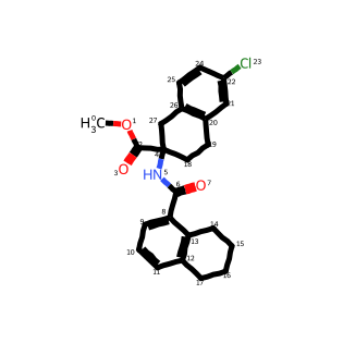 COC(=O)C1(NC(=O)c2cccc3c2CCCC3)CCc2cc(Cl)ccc2C1